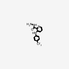 NNC(=O)c1ncccc1Nc1ccc(C(F)(F)F)cc1